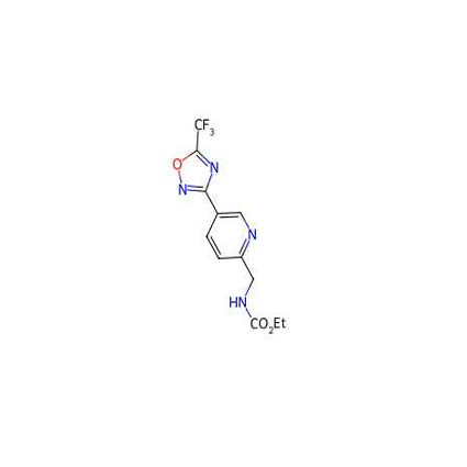 CCOC(=O)NCc1ccc(-c2noc(C(F)(F)F)n2)cn1